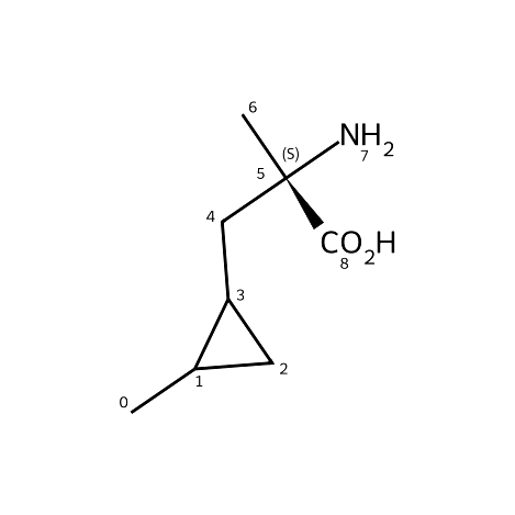 CC1CC1C[C@](C)(N)C(=O)O